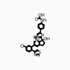 O=C(O)Nc1ccc(-c2c[nH]c(C3(O)CCc4cc(-c5cc(Cl)ccc5-c5csnn5)c[n+]([O-])c43)n2)cc1